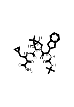 CC(C)(C)NC(=O)N[C@H](C(=O)N1C[C@@H]2[C@H]([C@H]1C(=O)NC(CC1CC1)C(=O)C(N)=O)C2(C)C)C1Cc2ccccc2C1